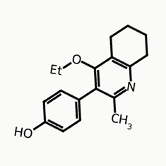 CCOc1c2c(nc(C)c1-c1ccc(O)cc1)CCCC2